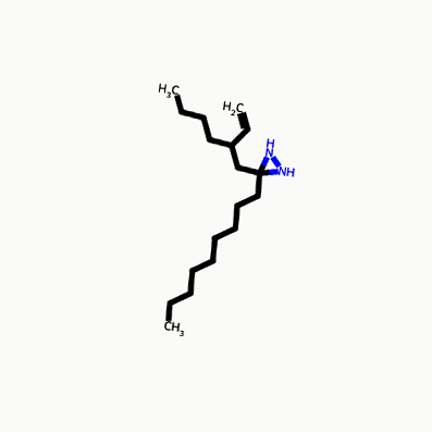 C=CC(CCCC)CC1(CCCCCCCCC)NN1